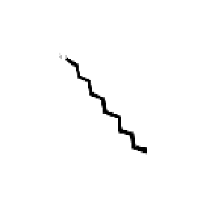 [2H]CCCCCCCCCC=C